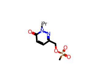 CC(C)n1nc(COS(C)(=O)=O)ccc1=O